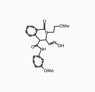 COCCN1C(=O)c2ccccc2C(C(=O)Nc2cccc(OC)c2)C1/C=N/O